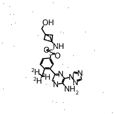 [2H]C([2H])([2H])c1ccc(S(=O)(=O)NC23CC(CO)(C2)C3)cc1-c1cnc(N)c(-n2cncn2)n1